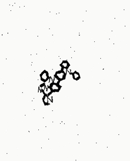 c1ccc(-n2c3ccccc3c3cc4c(cc32)c2ccc3c5ncccc5c5nccn5c3c2n4-c2ccccc2)cc1